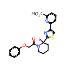 O=C(O)c1cccc(-c2csc(C3(I)CCCCN3C(=O)COc3ccccc3)n2)n1